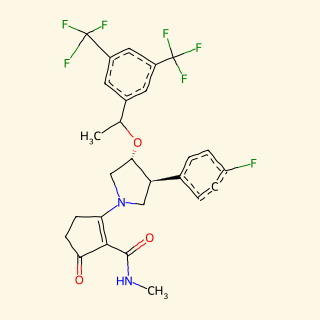 CNC(=O)C1=C(N2C[C@H](OC(C)c3cc(C(F)(F)F)cc(C(F)(F)F)c3)[C@@H](c3ccc(F)cc3)C2)CCC1=O